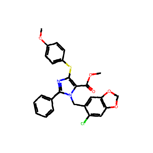 COC(=O)c1c(Sc2ccc(OC)cc2)nc(-c2ccccc2)n1Cc1cc2c(cc1Cl)OCO2